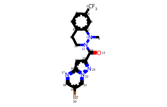 CN1c2cc(C(F)(F)F)ccc2CCN1C(=O)c1cc2ncc(Br)cn2n1